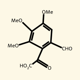 COc1cc(C=O)c(C(=O)C(=O)O)c(OC)c1OC